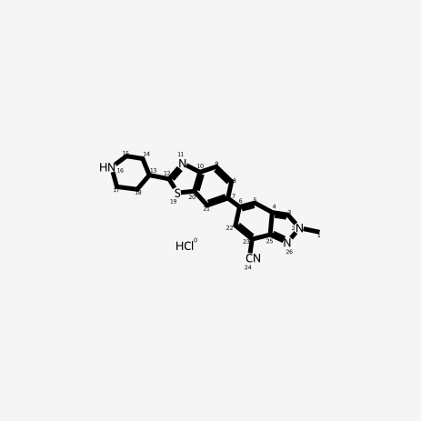 Cl.Cn1cc2cc(-c3ccc4nc(C5CCNCC5)sc4c3)cc(C#N)c2n1